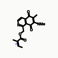 C/C=C(/C)C(=O)OCc1nccc2c1C(=O)C(NC)=C(C)C2=O